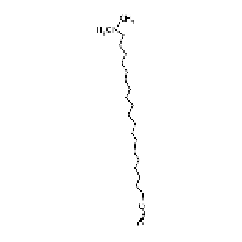 CN(C)CCCCCCCCCCCCCCCCCCCOC=O